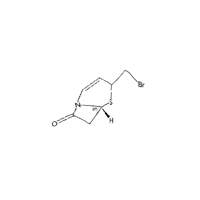 O=C1C[C@H]2SC(CBr)C=CN12